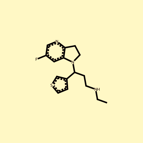 CCNCCC(c1ccsc1)N1CCc2ncc(F)cc21